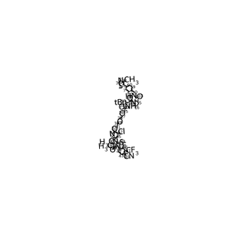 Cc1ncsc1-c1ccc(CNC(=O)[C@@H]2CCCN2C(=O)C(NC(=O)COCCOCCOc2ncc(N3C(=S)N(c4ccc(C#N)c(C(F)(F)F)c4F)C(=O)C3(C)C)cc2Cl)C(C)(C)C)cc1